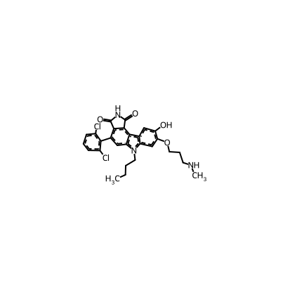 CCCCn1c2cc(OCCCNC)c(O)cc2c2c3c(c(-c4c(Cl)cccc4Cl)cc21)C(=O)NC3=O